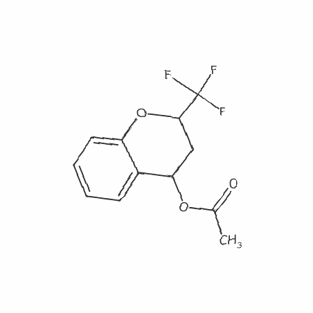 CC(=O)OC1CC(C(F)(F)F)Oc2ccccc21